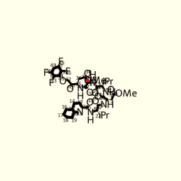 COC(=O)C[C@H](NC(=O)[C@@H](NC(=O)c1ccc2ccccc2n1)C(C)C)C(=O)N[C@H](C(=O)N[C@@H](C)C(=O)N[C@H](CC(=O)OC)C(=O)COc1c(F)c(F)cc(F)c1F)C(C)C